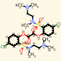 CN(C)CCN(C)S(=O)(=O)c1cc(Cl)ccc1OC(=O)C(=O)Oc1ccc(Cl)cc1S(=O)(=O)N(C)CCN(C)C